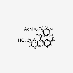 CC(=O)NCCOC(c1cccc(F)c1-c1cccc(C)c1)C1CCCN(C(=O)O)C1